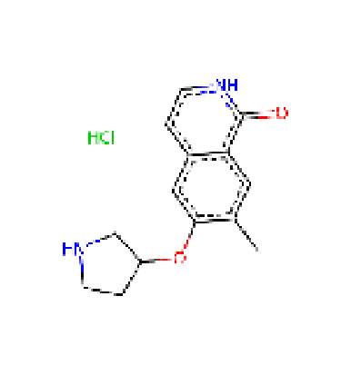 Cc1cc2c(=O)[nH]ccc2cc1OC1CCNC1.Cl